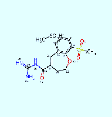 CS(=O)(=O)O.CS(=O)(=O)c1cccc2c1OCCC(C(=O)NC(=N)N)=C2